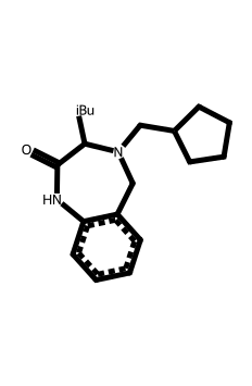 CCC(C)C1C(=O)Nc2ccccc2CN1CC1CCCC1